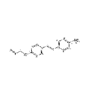 C=CCOc1ccc(/C=C/c2ccc([N+](=O)[O-])cc2)cc1